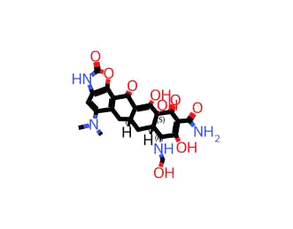 CN(C)c1cc2[nH]c(=O)oc2c2c1C[C@H]1C[C@H]3[C@@H](NCO)C(O)=C(C(N)=O)C(=O)[C@@]3(O)C(O)=C1C2=O